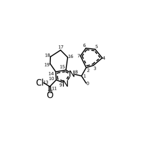 CC(c1ccccc1)n1nc(C(=O)Cl)c2c1CCCC2